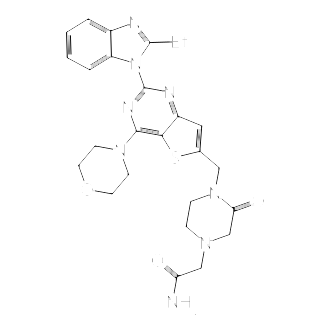 CCc1nc2ccccc2n1-c1nc(N2CCOCC2)c2sc(CN3CCN(CC(N)=O)CC3=O)cc2n1